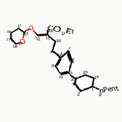 CCCCCC1CCC(c2ccc(CCC(COC3CCCCO3)C(=O)OCC)cc2)CC1